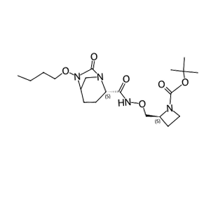 CCCCON1C(=O)N2CC1CC[C@H]2C(=O)NOC[C@@H]1CCN1C(=O)OC(C)(C)C